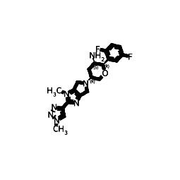 Cn1cc(-c2nc3c(n2C)CN([C@H]2CO[C@H](c4cc(F)ccc4F)[C@@H](N)C2)C3)nn1